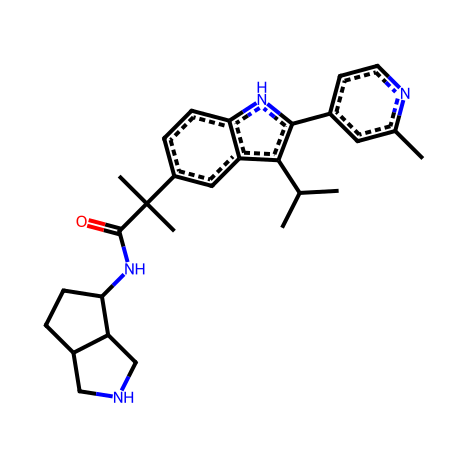 Cc1cc(-c2[nH]c3ccc(C(C)(C)C(=O)NC4CCC5CNCC54)cc3c2C(C)C)ccn1